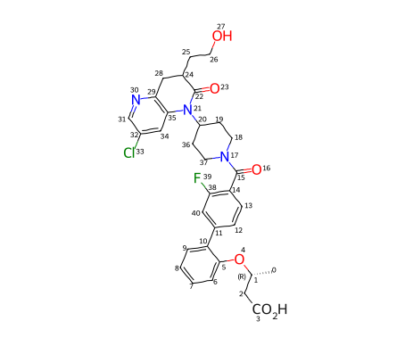 C[C@H](CC(=O)O)Oc1ccccc1-c1ccc(C(=O)N2CCC(N3C(=O)C(CCO)Cc4ncc(Cl)cc43)CC2)c(F)c1